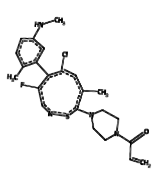 C=CC(=O)N1CCN(c2sncc(F)c(-c3cc(NC)ccc3C)c(Cl)cc2C)CC1